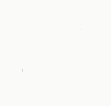 CCCC1CCC(C(F)(F)Oc2cc(F)c(C(F)(F)F)c(F)c2)C1